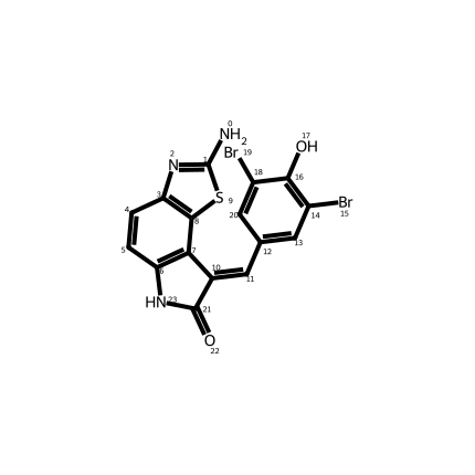 Nc1nc2ccc3c(c2s1)/C(=C\c1cc(Br)c(O)c(Br)c1)C(=O)N3